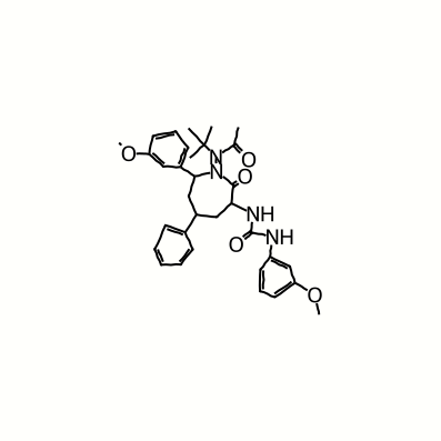 COc1cccc(NC(=O)NC2CC(c3ccccc3)CC(c3cccc(OC)c3)N(N(C(C)=O)C(C)(C)C)C2=O)c1